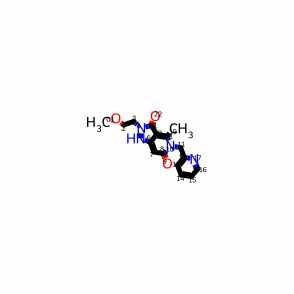 COCCn1[nH]c2cc(=O)n(Cc3ccccn3)c(C)c2c1=O